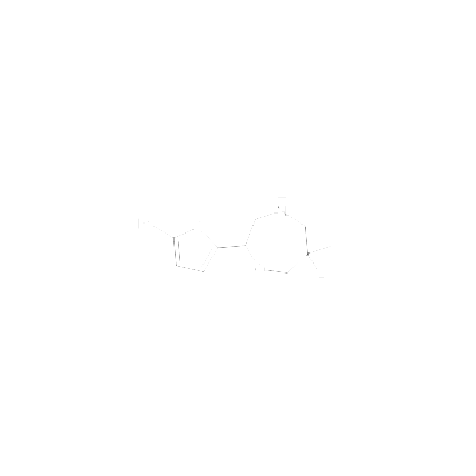 FC1(F)CNCC(c2ccc(Br)s2)OC1